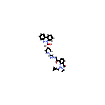 CCN(NCC1CC1)C(=O)c1cccc(C(=O)CNCCN2CCC(OC(=O)Nc3ccccc3-c3ccccc3)CC2)c1